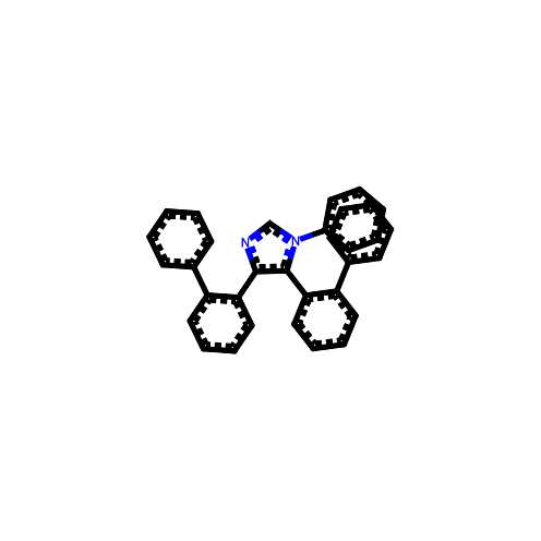 [c]1nc(-c2ccccc2-c2ccccc2)c(-c2ccccc2-c2ccccc2)n1-c1ccccc1